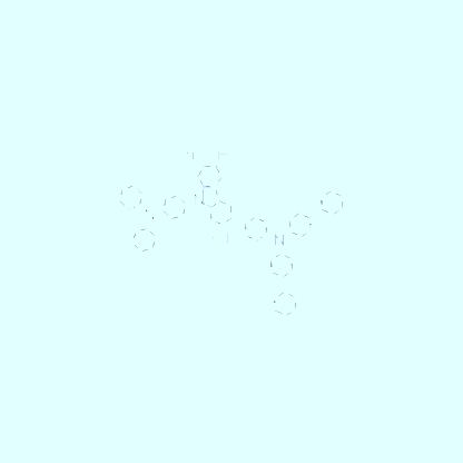 [2H]c1cc2c3cc(-c4ccc(N(c5ccc(-c6ccccc6)cc5)c5ccc(-c6ccccc6)cc5)cc4)c([2H])cc3n(-c3ccc(N(c4ccccc4)c4ccccc4)cc3)c2cc1[2H]